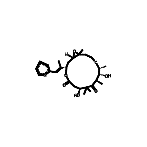 CC(=Cc1ccccn1)[C@@H]1C[C@@H]2OC2(C)CCC[C@H](C)[C@H](O)[C@@H](C)C(=O)C(C)(C)[C@@H](O)CC(=O)O1